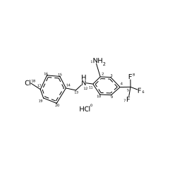 Cl.Nc1cc(C(F)(F)F)ccc1NCc1ccc(Cl)cc1